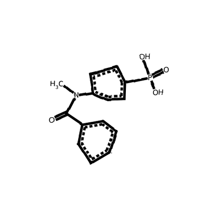 CN(C(=O)c1cc[c]cc1)c1ccc(P(=O)(O)O)cc1